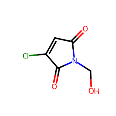 O=C1C=C(Cl)C(=O)N1CO